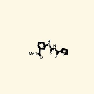 COC(=O)c1cccc(NC(=S)NC(=O)c2cccs2)c1